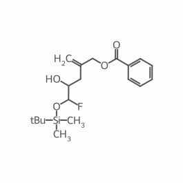 C=C(COC(=O)c1ccccc1)CC(O)C(F)O[Si](C)(C)C(C)(C)C